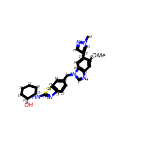 COc1cc2ncn(Cc3ccc4nc(N[C@@H]5CCCC[C@H]5O)sc4c3)c2cc1-c1cnn(C)c1